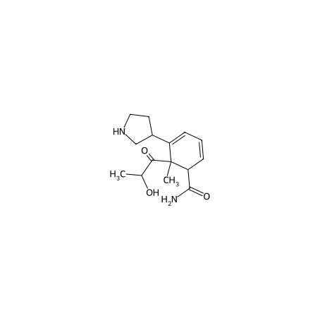 CC(O)C(=O)C1(C)C(C2CCNC2)=CC=CC1C(N)=O